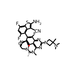 C[C@H](N1C=CN=CC1)N(C)c1nc(N2CC(C)(N(C)C)C2)nc2c(F)c(-c3c(F)cc(F)c4sc(N)c(C#N)c34)c(Cl)cc12